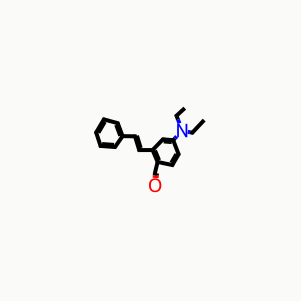 CCN(CC)c1ccc(C=O)c(C=Cc2ccccc2)c1